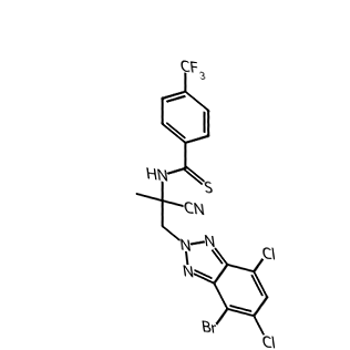 CC(C#N)(Cn1nc2c(Cl)cc(Cl)c(Br)c2n1)NC(=S)c1ccc(C(F)(F)F)cc1